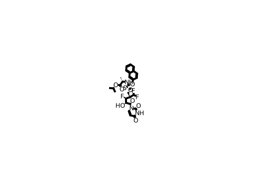 CC(C)OC(=O)[C@H](C)NP(=S)(OC[C@@]1(C(F)F)O[C@@H](n2ccc(=O)[nH]c2=O)[C@H](O)[C@H]1F)Oc1ccc2ccccc2c1